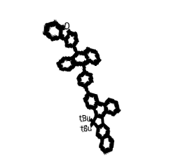 CC(C)(C)C1(C(C)(C)C)c2cc3ccccc3cc2-c2c1c1ccc(-c3ccc(-c4c5ccccc5c(-c5ccc6oc7ccccc7c6c5)c5ccccc45)cc3)cc1c1ccccc21